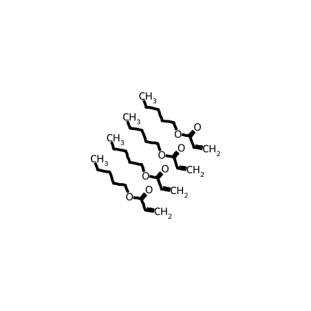 C=CC(=O)OCCCCC.C=CC(=O)OCCCCC.C=CC(=O)OCCCCC.C=CC(=O)OCCCCC